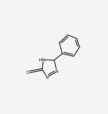 O=C1N=NC(c2c[c]ccc2)N1